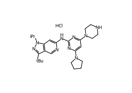 CC(C)n1nc(C(C)(C)C)c2cnc(Nc3nc(N4CCCC4)cc(N4CCNCC4)n3)cc21.Cl